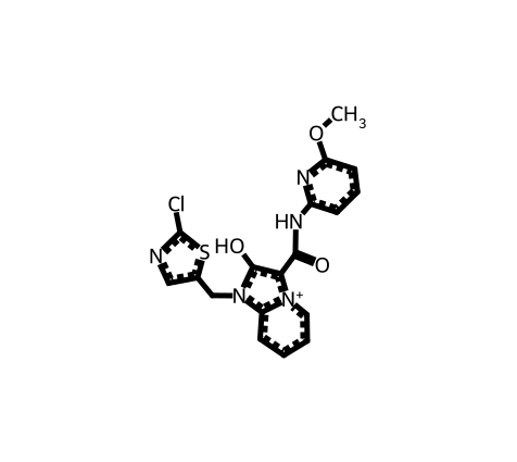 COc1cccc(NC(=O)c2c(O)n(Cc3cnc(Cl)s3)c3cccc[n+]23)n1